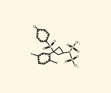 O=S(=O)(c1ccc(Cl)cc1)C1(c2cc(F)ccc2F)CC(N(S(=O)(=O)C(F)(F)F)S(=O)(=O)C(F)(F)F)C1